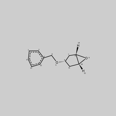 c1ccc(CO[C@@H]2C[C@@H]3O[C@@H]3C2)cc1